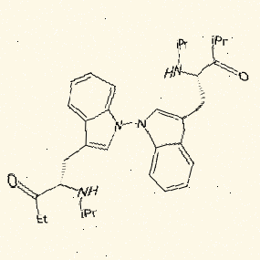 CCC(=O)[C@H](Cc1cn(-n2cc(C[C@H](NC(C)C)C(=O)C(C)C)c3ccccc32)c2ccccc12)NC(C)C